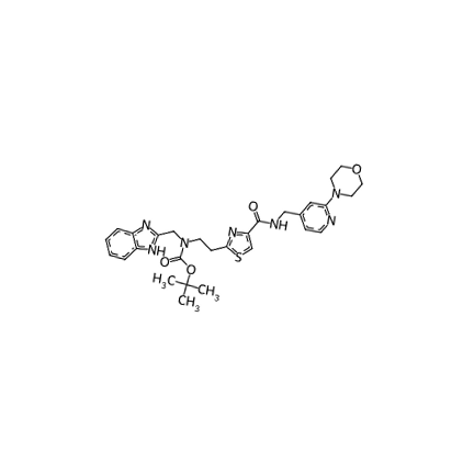 CC(C)(C)OC(=O)N(CCc1nc(C(=O)NCc2ccnc(N3CCOCC3)c2)cs1)Cc1nc2ccccc2[nH]1